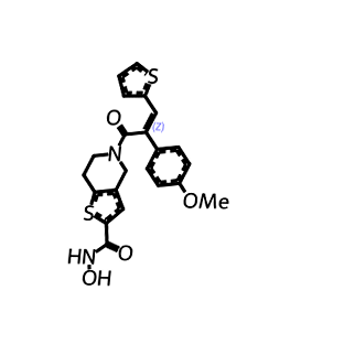 COc1ccc(/C(=C/c2cccs2)C(=O)N2CCc3sc(C(=O)NO)cc3C2)cc1